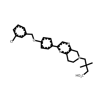 CC(C)(CC(=O)O)CN1CCc2nc(-c3ccc(OCc4cccc(Cl)c4)cc3)cnc2C1